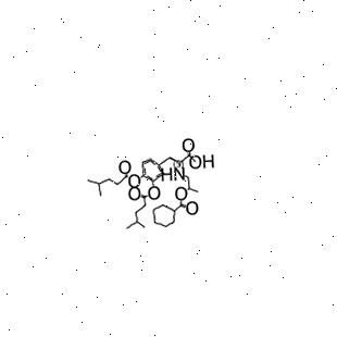 CC(C)CCC(=O)Oc1ccc(C[C@H](NCC(C)OC(=O)C2CCCCC2)C(=O)O)cc1OC(=O)CCC(C)C